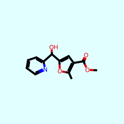 COC(=O)c1cc(C(O)c2ccccn2)oc1C